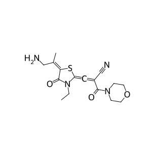 CCn1c(=C=C(C#N)C(=O)N2CCOCC2)s/c(=C(\C)CN)c1=O